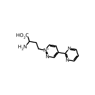 NC(CC[n+]1ccc(-c2ncccn2)cn1)C(=O)O